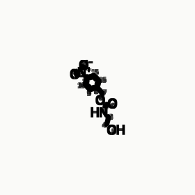 O=C(NCCO)OCc1ccc([N+](=O)[O-])cc1